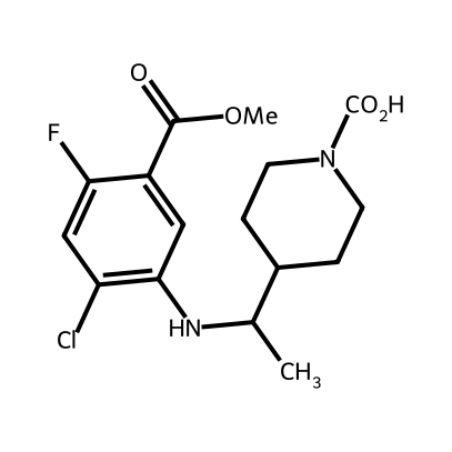 COC(=O)c1cc(NC(C)C2CCN(C(=O)O)CC2)c(Cl)cc1F